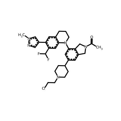 CC(=O)N1Cc2cc(C3CCN(CCCl)CC3)cc(N3CCCc4cc(-c5cnn(C)c5)c(C(F)F)cc43)c2C1